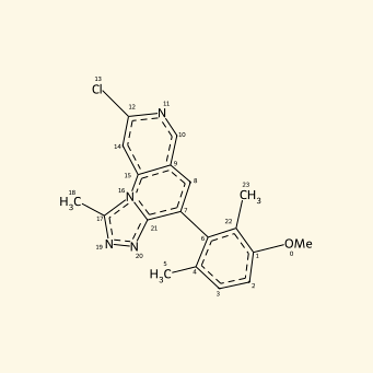 COc1ccc(C)c(-c2cc3cnc(Cl)cc3n3c(C)nnc23)c1C